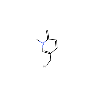 C=C1C=CC(CC(C)C)=CN1C